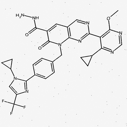 COc1ncnc(C2CC2)c1-c1ncc2cc(C(=O)NN)c(=O)n(Cc3ccc(-c4nc(C(F)(F)F)cn4C4CC4)cc3)c2n1